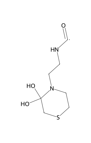 O=[C]NCCN1CCSCC1(O)O